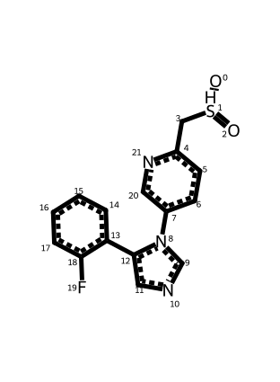 O=[SH](=O)Cc1ccc(-n2cncc2-c2ccccc2F)cn1